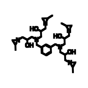 CC1CN1CC(O)CN(Cc1cccc(CN(CC(O)CN2CC2C)CC(O)CN2CC2C)c1)CC(O)CN1CC1C